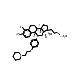 C[C@]12C[C@H](c3ccc(OCCN4CCCCC4)cc3)[C@@H]3c4ccc(O)c(Cl)c4CC[C@H]3[C@@H]1CC[C@@]2(O)CCOC(=O)O